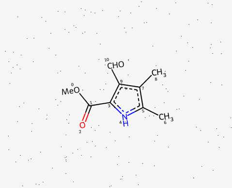 COC(=O)c1[nH]c(C)c(C)c1C=O